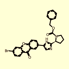 O=C(OCc1ccccc1)N1CCC[C@H]1c1ncc(-c2ccc3oc4cc(Br)ccc4c(=O)c3c2)[nH]1